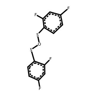 Fc1ccc(SOSc2ccc(F)cc2F)c(F)c1